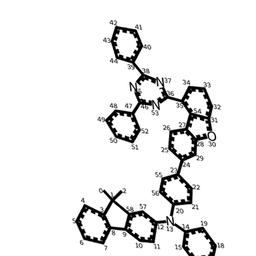 CC1(C)c2ccccc2-c2ccc(N(c3ccccc3)c3ccc(-c4ccc5c(c4)oc4cccc(-c6nc(-c7ccccc7)nc(-c7ccccc7)n6)c45)cc3)cc21